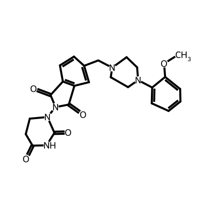 COc1ccccc1N1CCN(Cc2ccc3c(c2)C(=O)N(N2CCC(=O)NC2=O)C3=O)CC1